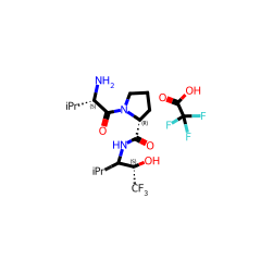 CC(C)C(NC(=O)[C@H]1CCCN1C(=O)[C@@H](N)C(C)C)[C@H](O)C(F)(F)F.O=C(O)C(F)(F)F